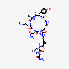 CCC(C)C1NC(=O)[C@H](Cc2ccc(O)cc2)NC(=O)CNC(=O)CC[C@@H](C(=O)NCCC2CC2C(=O)N[C@@H](CC(C)C)C(=O)NCC(N)=O)NC(=O)[C@H](CC(N)=O)NC(=O)[C@H](CCCN)NC1=O